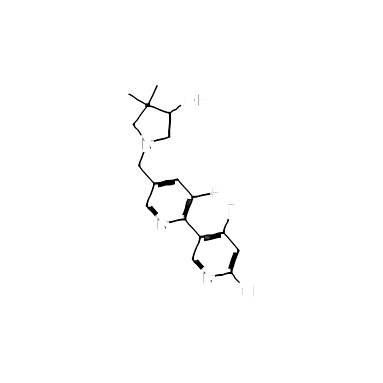 CC1(C)CN(Cc2cnc(-c3cnc(Cl)cc3F)c(F)c2)CC1O